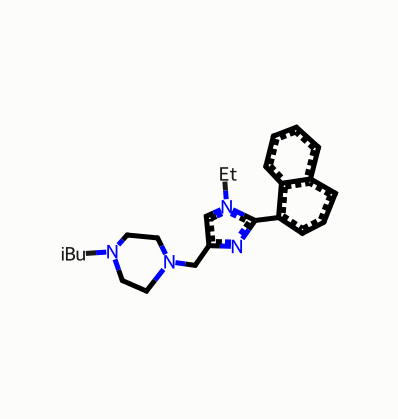 CCC(C)N1CCN(Cc2cn(CC)c(-c3cccc4ccccc34)n2)CC1